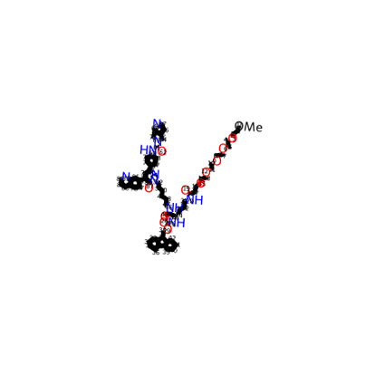 COCCOCCOCCOCCOCCOCCC(=O)NCCCC[C@H](NC(=O)OCC1c2ccccc2-c2ccccc21)C(=O)NCCCCCCn1nc(-c2ccc(NC(=O)N3Cc4ccncc4C3)cc2)cc(-c2ccc3cccnc3c2)c1=O